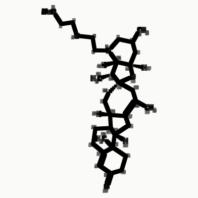 COCCOCCN1CC(C)C[C@H]2O[C@]3(CC[C@@H]4C(=C(C)C3)C[C@H]3C4CCC4=CC(=O)CCC43C)[C@H](C)[C@@H]21